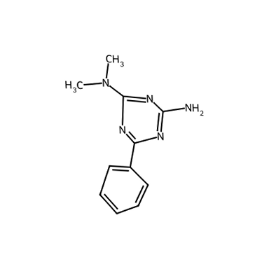 CN(C)c1nc(N)nc(-c2ccccc2)n1